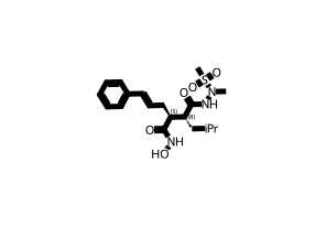 CC(C)C[C@@H](C(=O)NN(C)S(C)(=O)=O)[C@H](CC=Cc1ccccc1)C(=O)NO